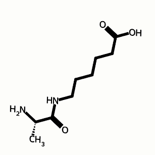 C[C@H](N)C(=O)NCCCCCC(=O)O